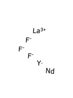 [F-].[F-].[F-].[La+3].[Nd].[Y]